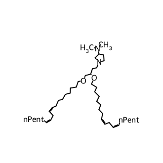 CCCCC/C=C\C/C=C\CCCCCCCCOCC(CCN1CCC(N(C)C)C1)OCCCCCCCC/C=C\C/C=C\CCCCC